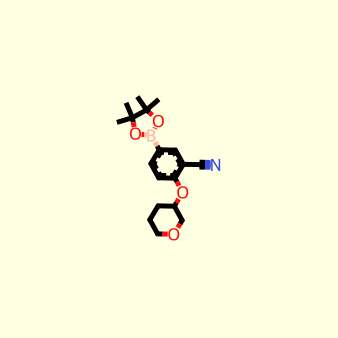 CC1(C)OB(c2ccc(OC3CCCOC3)c(C#N)c2)OC1(C)C